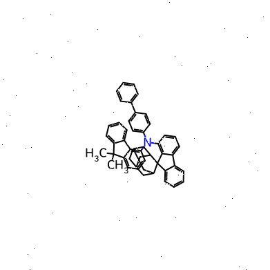 CC1(C)c2ccccc2-c2c(N(c3ccc(-c4ccccc4)cc3)c3cccc4c3C3(c5ccccc5-4)C4CC5CC(C4)CC3C5)cccc21